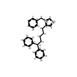 c1ccc(Cn2cncc2CCCCC(c2ccccc2)c2ccccc2)cc1